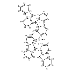 CC1(C)c2ccc3c4ccccc4n(-c4cccc5c4sc4ccccc45)c3c2Oc2ccc3c4ccccc4n(-c4cccc5c4sc4ccccc45)c3c21